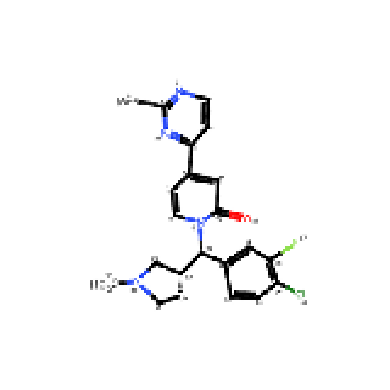 CSc1nccc(-c2ccn([C@@H](c3ccc(Cl)c(F)c3)[C@@H]3CCN(C(=O)O)C3)c(=O)c2)n1